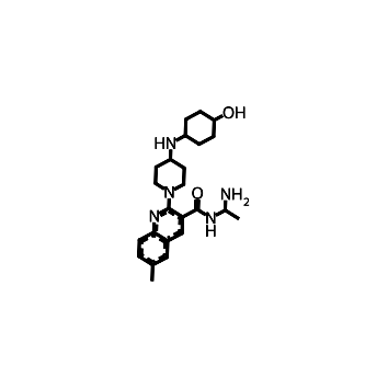 Cc1ccc2nc(N3CCC(NC4CCC(O)CC4)CC3)c(C(=O)NC(C)N)cc2c1